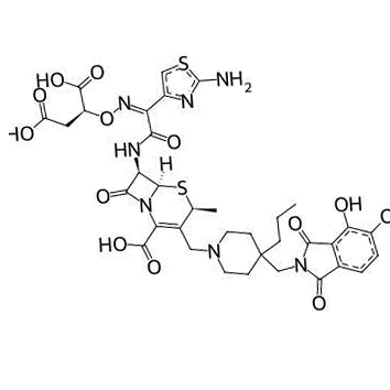 CCCC1(CN2C(=O)c3ccc(O)c(O)c3C2=O)CCN(CC2=C(C(=O)O)N3C(=O)[C@@H](NC(=O)/C(=N\O[C@@H](CC(=O)O)C(=O)O)c4csc(N)n4)[C@H]3S[C@H]2C)CC1